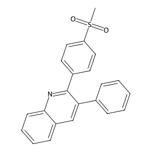 CS(=O)(=O)c1ccc(-c2nc3ccccc3cc2-c2ccccc2)cc1